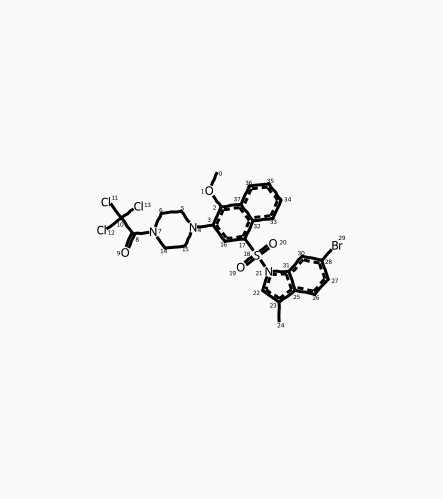 COc1c(N2CCN(C(=O)C(Cl)(Cl)Cl)CC2)cc(S(=O)(=O)n2cc(C)c3ccc(Br)cc32)c2ccccc12